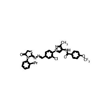 Cc1nn(-c2ccc(/C=N/N=C3\SCC(=O)N3c3ccccc3C(C)C)cc2Cl)cc1NC(=O)c1ccc(OC(F)(F)F)cc1